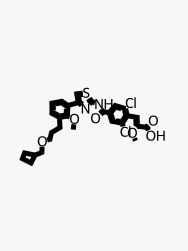 COC(=Cc1c(Cl)cc(C(=O)Nc2nc(-c3cccc(CCCOCC4CCC4)c3OC)cs2)cc1Cl)C(=O)O